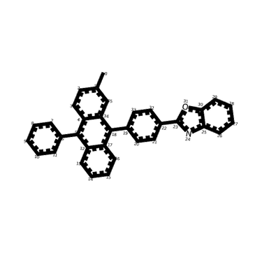 Cc1ccc2c(-c3ccccc3)c3ccccc3c(-c3ccc(-c4nc5ccccc5o4)cc3)c2c1